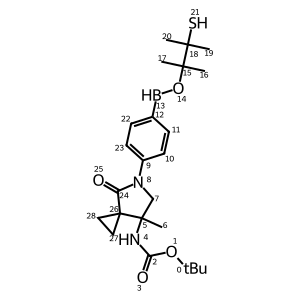 CC(C)(C)OC(=O)NC1(C)CN(c2ccc(BOC(C)(C)C(C)(C)S)cc2)C(=O)C12CC2